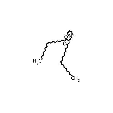 CCCCCCCC/C=C\CCCCCCCC(=O)CC(C[n+]1ccccc1)C(=O)CCCCCCC/C=C\CCCCCCCC